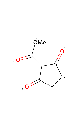 COC(=O)C1C(=O)CCC1=O